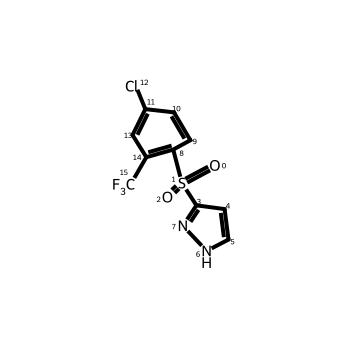 O=S(=O)(c1cc[nH]n1)c1ccc(Cl)cc1C(F)(F)F